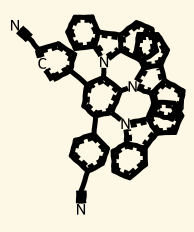 N#Cc1ccc(-c2cc(-c3ccc(C#N)cc3)c(-n3c4ccccc4c4ccccc43)c(-n3c4ccccc4c4ccccc43)c2-n2c3ccccc3c3ccccc32)cc1